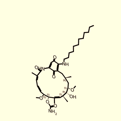 CCCCCCCCCCCCNC1=C2C[C@@H](C)C[C@H](OC)[C@H](O)[C@@H](C)C=C(C)[C@H](OC(N)=O)[C@@H](OC)C=CC=C(C)C(=O)NC(=CC1=O)C2=O